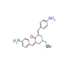 CC(C)(C)CC1C/C(=C/c2ccc(N)cc2)C(=O)/C(=C/c2ccc(N)cc2)C1